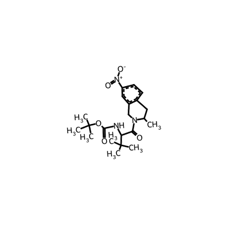 CC1Cc2ccc([N+](=O)[O-])cc2CN1C(=O)C(NC(=O)OC(C)(C)C)C(C)(C)C